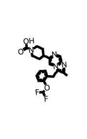 Cc1nc2cnc(C3CCN(C(=O)O)CC3)cn2c1Cc1ccccc1OC(F)F